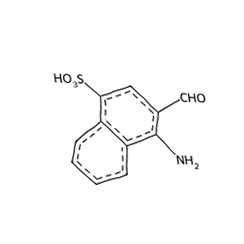 Nc1c(C=O)cc(S(=O)(=O)O)c2ccccc12